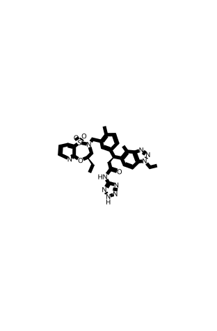 CC[C@@H]1CN(Cc2cc([C@H](CC(=O)Nc3nn[nH]n3)c3ccc4c(nnn4CC)c3C)ccc2C)S(=O)(=O)c2cccnc2O1